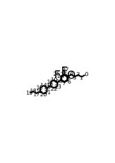 CCCCOc1ccc(C2=CCC(C3CCC(CCC)CC3)CC2)c(F)c1F